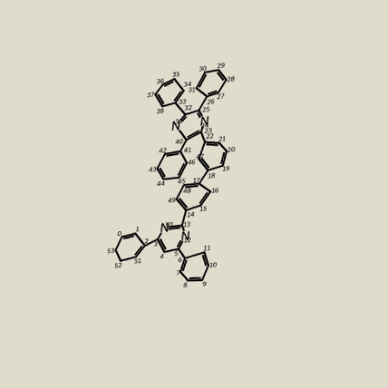 C1=CC(c2cc(-c3ccccc3)nc(-c3ccc(-c4cccc(-c5nc(-c6ccccc6)c(-c6ccccc6)nc5-c5ccccc5)c4)cc3)n2)=CCC1